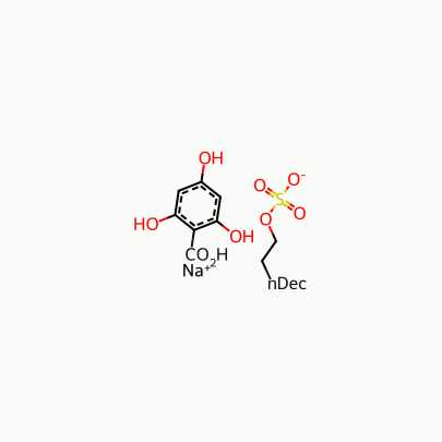 CCCCCCCCCCCCOS(=O)(=O)[O-].O=C(O)c1c(O)cc(O)cc1O.[Na+]